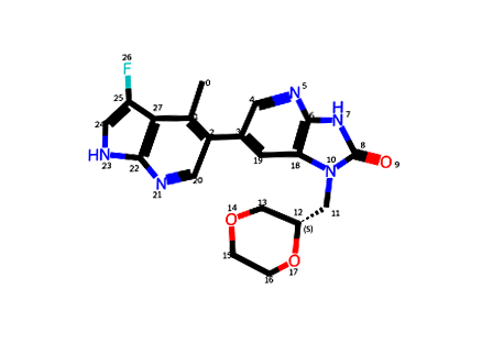 Cc1c(-c2cnc3[nH]c(=O)n(C[C@H]4COCCO4)c3c2)cnc2[nH]cc(F)c12